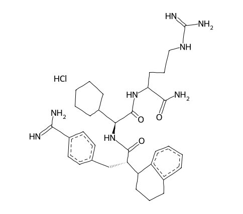 Cl.N=C(N)NCCCC(NC(=O)[C@@H](NC(=O)[C@@H](Cc1ccc(C(=N)N)cc1)C1CCCc2ccccc21)C1CCCCC1)C(N)=O